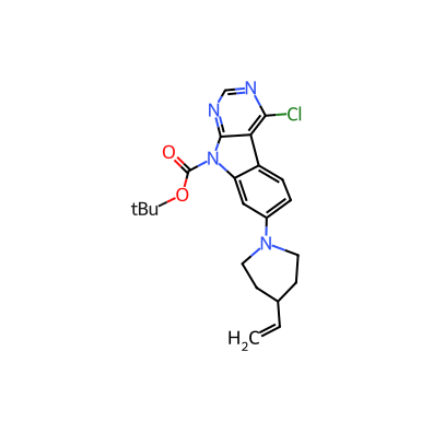 C=CC1CCN(c2ccc3c4c(Cl)ncnc4n(C(=O)OC(C)(C)C)c3c2)CC1